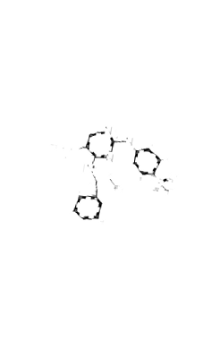 CCOC(=O)c1cnc(Nc2ccc(S(=O)(=O)CC)cc2)nc1N[C@H](CO)c1ccccc1